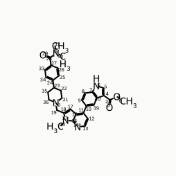 COC(=O)c1c[nH]c2ccc(-c3ccnc4c3cc(CN3CCC(c5ccc(C(=O)N(C)C)cc5)CC3)n4C)cc12